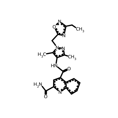 CCc1noc(Cn2nc(C)c(NC(=O)c3cc(C(N)=O)nc4ccccc34)c2C)n1